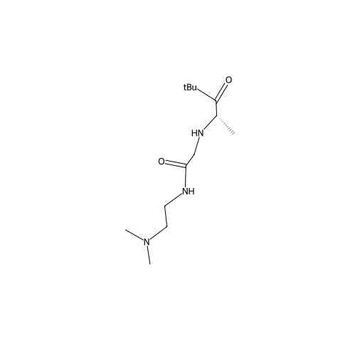 C[C@H](NCC(=O)NCCN(C)C)C(=O)C(C)(C)C